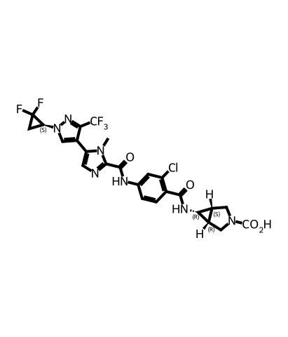 Cn1c(-c2cn([C@H]3CC3(F)F)nc2C(F)(F)F)cnc1C(=O)Nc1ccc(C(=O)N[C@@H]2[C@@H]3CN(C(=O)O)C[C@@H]32)c(Cl)c1